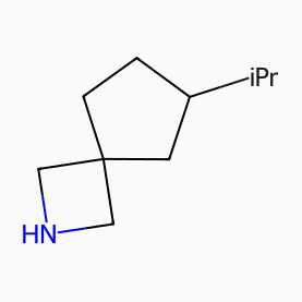 CC(C)C1CCC2(CNC2)C1